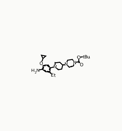 CCc1cc(N)c(OC2CC2)cc1N1CCC(N2CCN(C(=O)OC(C)(C)C)CC2)CC1